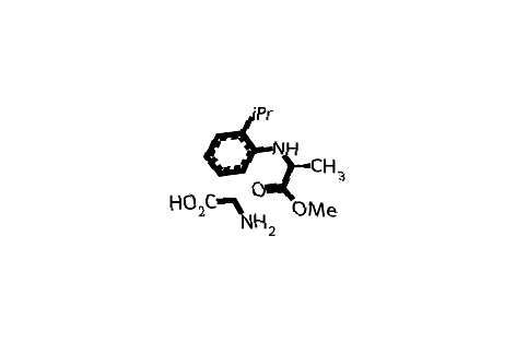 COC(=O)[C@H](C)Nc1ccccc1C(C)C.NCC(=O)O